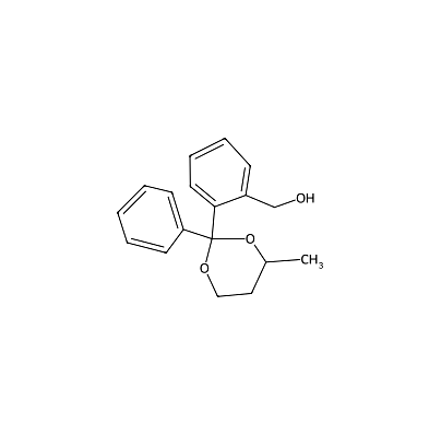 CC1CCOC(c2ccccc2)(c2ccccc2CO)O1